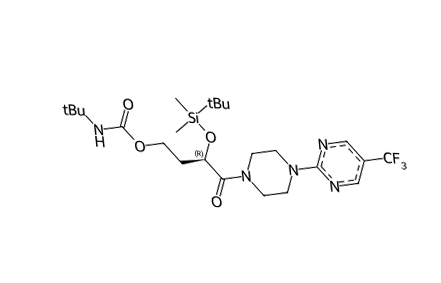 CC(C)(C)NC(=O)OCC[C@@H](O[Si](C)(C)C(C)(C)C)C(=O)N1CCN(c2ncc(C(F)(F)F)cn2)CC1